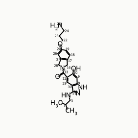 CC(C)CNc1n[nH]c2cc(O)c(C(=O)N3Cc4ccc(OCCCN)cc4C3)cc12